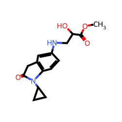 COC(=O)C(O)CNc1ccc2c(c1)CC(=O)N2C1CC1